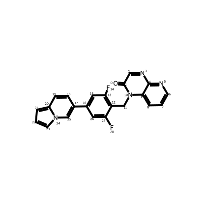 O=c1cnc2ncccc2n1Cc1c(F)cc(-c2ccc3cccn3c2)cc1F